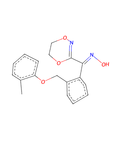 Cc1ccccc1OCc1ccccc1/C(=N\O)C1=NOCCO1